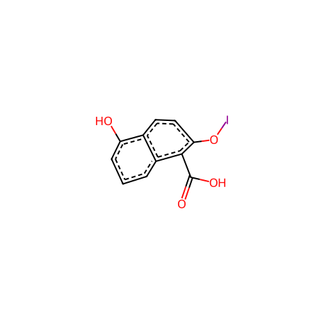 O=C(O)c1c(OI)ccc2c(O)cccc12